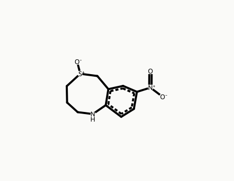 O=[N+]([O-])c1ccc2c(c1)C[S+]([O-])CCCN2